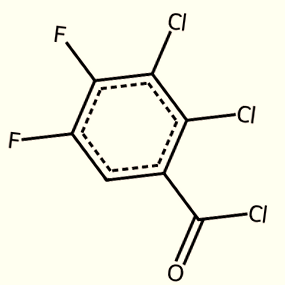 O=C(Cl)c1cc(F)c(F)c(Cl)c1Cl